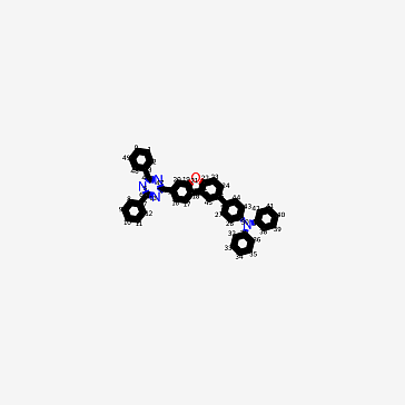 c1ccc(-c2nc(-c3ccccc3)nc(-c3ccc4c(c3)oc3ccc(-c5ccc(N(c6ccccc6)c6ccccc6)cc5)cc34)n2)cc1